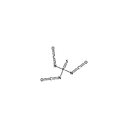 O=C=NP(=S)(N=C=O)N=C=O